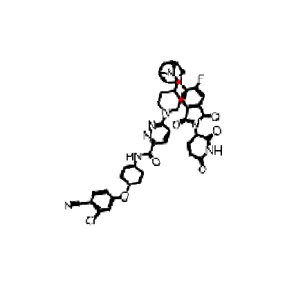 N#Cc1ccc(OC2CCC(NC(=O)c3ccc(N4CCC(CN5C6CC5CN(c5cc7c(cc5F)C(=O)N(C5CCC(=O)NC5=O)C7=O)C6)CC4)nn3)CC2)cc1Cl